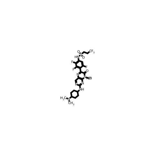 CC(C)n1c(=O)c(-c2c(F)cc(NS(=O)(=O)CCC(F)(F)F)c(F)c2F)nc2cnc(NC3CCC(N(C)C)CC3)nc21.Cl